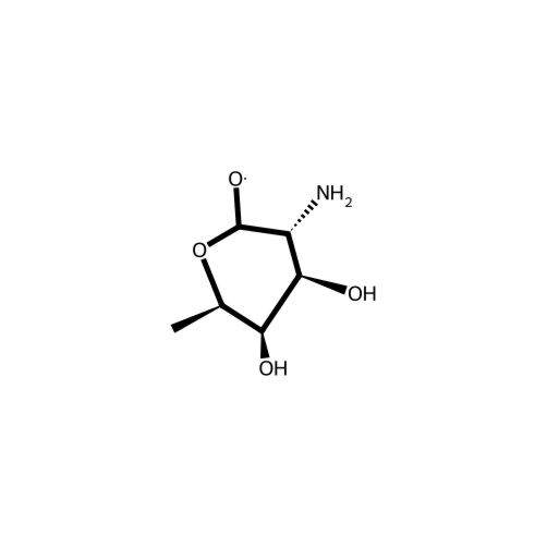 C[C@H]1OC([O])[C@H](N)[C@@H](O)[C@H]1O